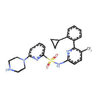 O=S(=O)(Nc1ccc(C(F)(F)F)c(-c2ccccc2C2CC2)n1)c1cccc(N2CCNCC2)n1